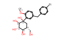 CCc1ccc(Cc2ccc(OC(F)(F)F)c([C@]3(O)C[C@H](CO)[C@@H](O)[C@H](O)[C@H]3O)c2)cc1